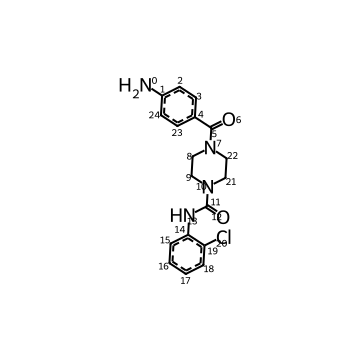 Nc1ccc(C(=O)N2CCN(C(=O)Nc3ccccc3Cl)CC2)cc1